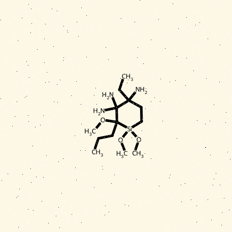 CCCC1(OC)C(N)(N)C(N)(CC)CC[Si]1(OC)OC